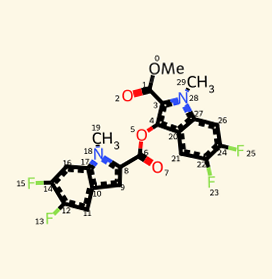 COC(=O)c1c(OC(=O)c2cc3cc(F)c(F)cc3n2C)c2cc(F)c(F)cc2n1C